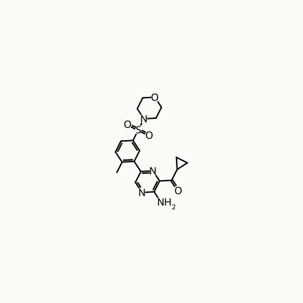 Cc1ccc(S(=O)(=O)N2CCOCC2)cc1-c1cnc(N)c(C(=O)C2CC2)n1